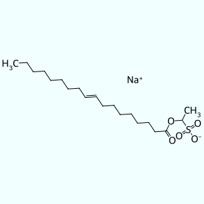 CCCCCCCCC=CCCCCCCCC(=O)OC(C)S(=O)(=O)[O-].[Na+]